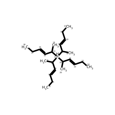 CCC=CC(C)[PH](C(C)C=CCC)(C(C)C=CCC)C(C)C=CCC